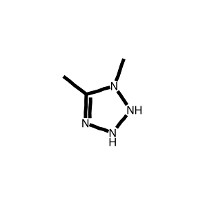 CC1=NNNN1C